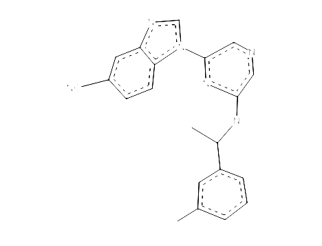 CC(Nc1cncc(-n2cnc3cc(C#N)ccc32)n1)c1cccc(F)c1